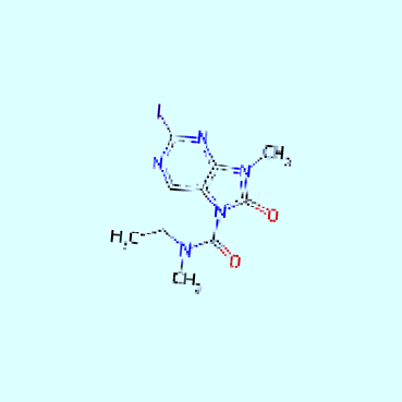 CCN(C)C(=O)n1c(=O)n(C)c2nc(I)ncc21